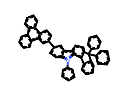 c1ccc(-n2c3ccc(-c4ccc5c6ccccc6c6ccccc6c5c4)cc3c3ccc4c(c32)-c2ccccc2C4(c2ccccc2)c2ccccc2)cc1